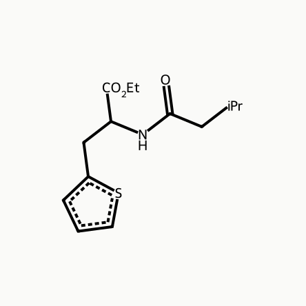 CCOC(=O)C(Cc1cccs1)NC(=O)CC(C)C